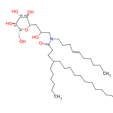 CCCCCC=CCCCN(CC(O)CC1O[C@H](CO)[C@@H](O)[C@H](O)[C@H]1O)C(=O)CCC(CCCCCC)CCCCCCCCCCCC